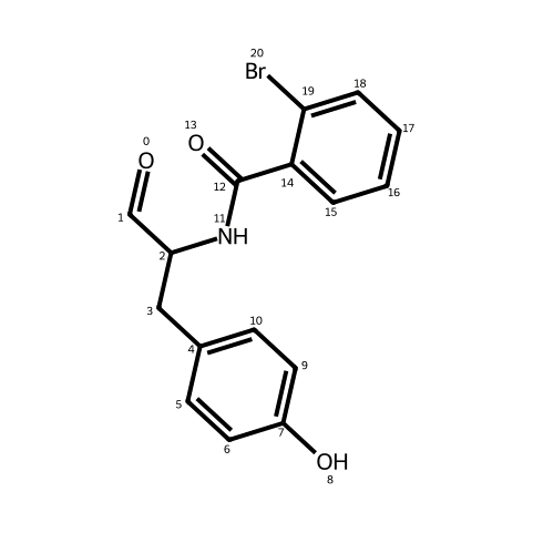 O=CC(Cc1ccc(O)cc1)NC(=O)c1ccccc1Br